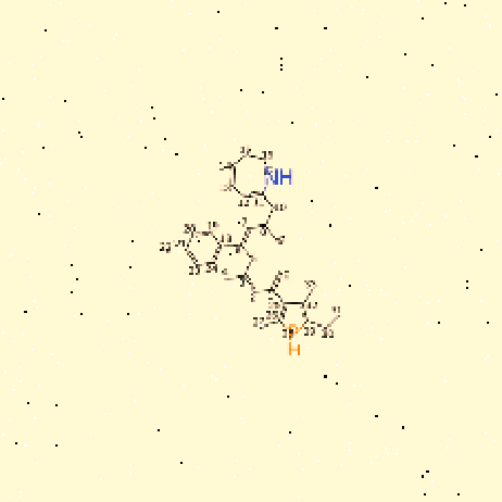 C=C(/C=C(/C)C/C(=C\C(C)CC1=CC=CCCN1)c1ccc(C)cc1)c1c(C)[pH]c(CC)c1C